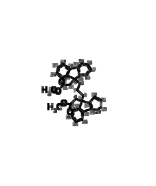 COC(=O)CC1(CCCC2(CC(=O)OC)c3ccccc3-c3ccccc32)C2=C(CCC=C2)c2ccccc21